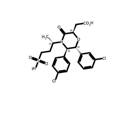 CC(C)S(=O)(=O)CC[C@H](C)N1C(=O)[C@@H](CC(=O)O)O[C@H](c2cccc(Cl)c2)[C@H]1c1ccc(Cl)cc1